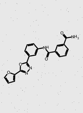 NC(=O)c1cccc(C(=O)Nc2cccc(-c3nnc(-c4ccco4)o3)c2)c1